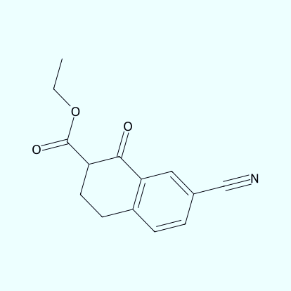 CCOC(=O)C1CCc2ccc(C#N)cc2C1=O